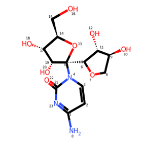 Nc1ccn([C@]2(C3OC[C@H](O)[C@H]3O)O[C@H](CO)[C@@H](O)[C@H]2O)c(=O)n1